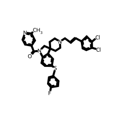 Cc1cc(C(=O)N2CC3(CCN(C/C=C/c4ccc(Cl)c(Cl)c4)CC3)c3cc(Sc4ccc(F)cc4)ccc32)ccn1